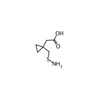 NSCC1(CC(=O)O)CC1